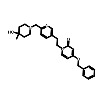 CC1(O)CCN(Cc2ccc(CCn3ccc(OCc4ccccc4)cc3=O)cn2)CC1